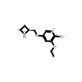 CCOc1cc(OC[C@@H]2CCN2)cnc1Cl